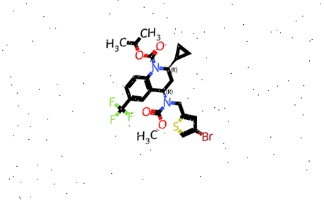 COC(=O)N(Cc1cc(Br)cs1)[C@@H]1C[C@H](C2CC2)N(C(=O)OC(C)C)c2ccc(C(F)(F)F)cc21